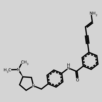 CN(C)[C@@H]1CCN(Cc2ccc(NC(=O)c3cccc(C#C/C=C/N)c3)cc2)C1